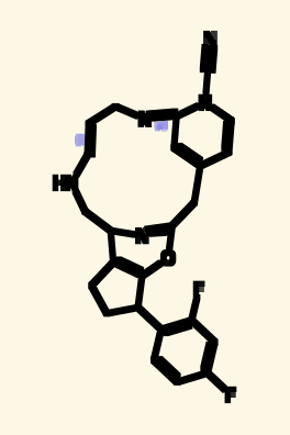 N#CN1C=CC2=C/C1=N/C/C=C/NCC1N=C(C2)OC2=C1CCC2c1ccc(F)cc1F